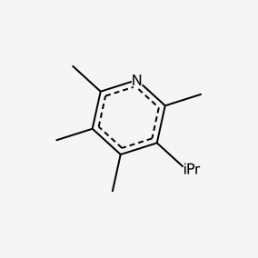 Cc1nc(C)c(C(C)C)c(C)c1C